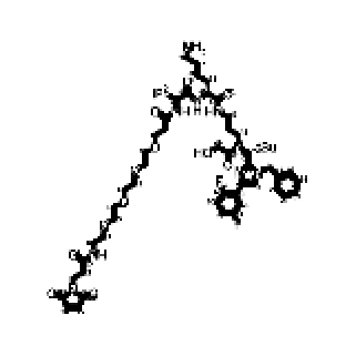 CC(C)C(NC(=O)CCOCCOCCOCCOCCNC(=O)CCN1C(=O)C=CC1=O)C(=O)N[C@@H](CCCCN)C(=O)NCCCN(C(=O)CO)[C@@H](c1nc(-c2cc(F)ccc2F)cn1Cc1ccccc1)C(C)(C)C